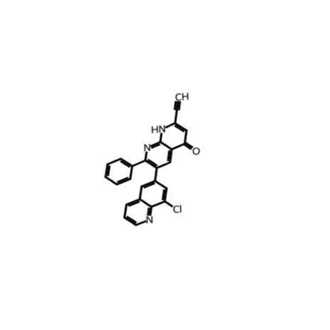 C#Cc1cc(=O)c2cc(-c3cc(Cl)c4ncccc4c3)c(-c3ccccc3)nc2[nH]1